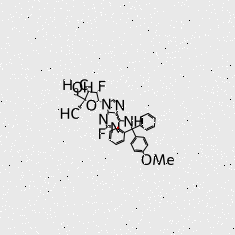 C#C[C@]1(CO)O[C@@H](n2cnc3c(NC(c4ccccc4)(c4ccccc4)c4ccc(OC)cc4)nc(F)nc32)[C@@H](F)[C@@H]1C